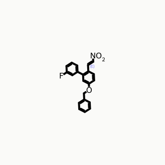 O=[N+]([O-])/C=C/c1ccc(OCc2ccccc2)cc1-c1cccc(F)c1